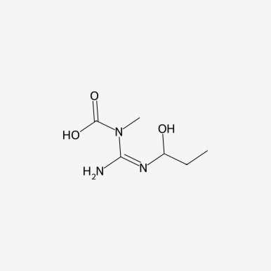 CCC(O)N=C(N)N(C)C(=O)O